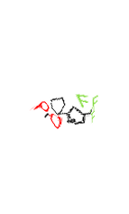 CC(=O)OC1(c2cccc(C(F)(F)F)c2)CCCCC1